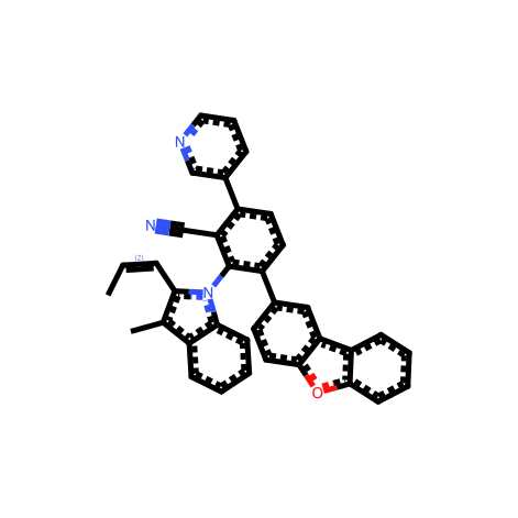 C/C=C\c1c(C)c2ccccc2n1-c1c(-c2ccc3oc4ccccc4c3c2)ccc(-c2cccnc2)c1C#N